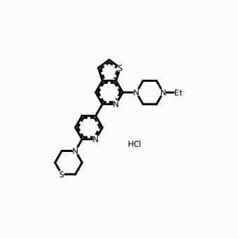 CCN1CCN(c2nc(-c3ccc(N4CCSCC4)nc3)cc3ccsc23)CC1.Cl